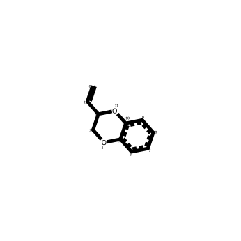 [CH]=CC1COc2ccccc2O1